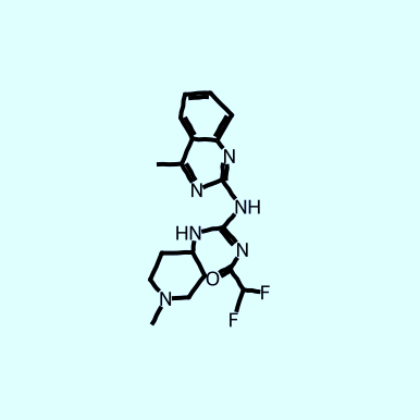 Cc1nc(N/C(=N/C(=O)C(F)F)NC2CCN(C)CC2)nc2ccccc12